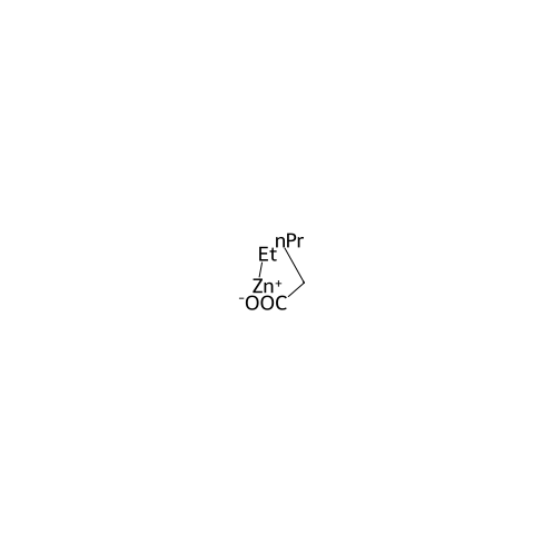 CCCCC(=O)[O-].C[CH2][Zn+]